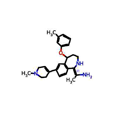 C/C(N)=C1/NCCC(Oc2cccc(C)c2)c2cc(C3=CCN(C)CC3)ccc21